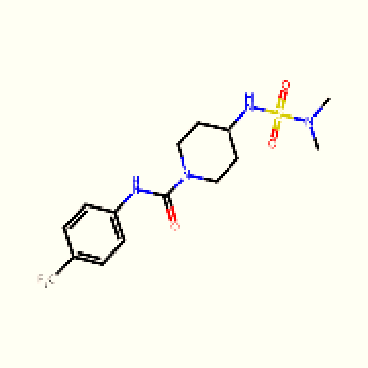 CN(C)S(=O)(=O)NC1CCN(C(=O)Nc2ccc(C(F)(F)F)cc2)CC1